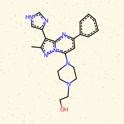 Cc1nn2c(N3CCN(CCO)CC3)cc(-c3ccccc3)nc2c1-c1c[nH]cn1